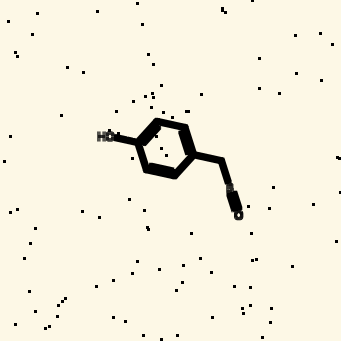 O=BCc1ccc(O)cc1